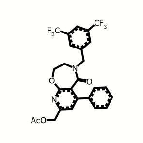 CC(=O)OCc1cc(-c2ccccc2)c2c(n1)OCCN(Cc1cc(C(F)(F)F)cc(C(F)(F)F)c1)C2=O